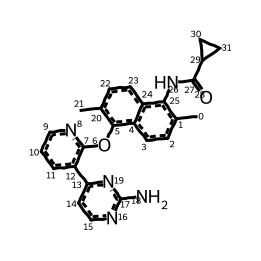 Cc1ccc2c(Oc3ncccc3-c3ccnc(N)n3)c(C)ccc2c1NC(=O)C1CC1